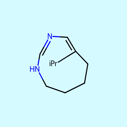 CC(C)/C1=C\N=C/NCCCC1